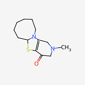 CN1CC(=O)C2=C(C1)N1CCCCCCC1S2